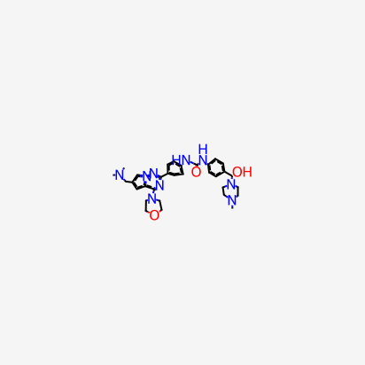 CN(C)Cc1cc2c(N3CCOCC3)nc(-c3ccc(NC(=O)Nc4ccc(C(O)N5CCN(C)CC5)cc4)cc3)nn2c1